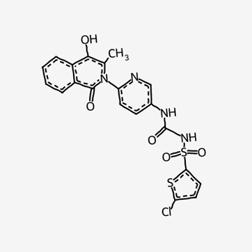 Cc1c(O)c2ccccc2c(=O)n1-c1ccc(NC(=O)NS(=O)(=O)c2ccc(Cl)s2)cn1